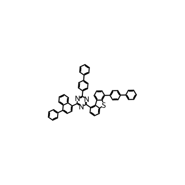 c1ccc(-c2ccc(-c3nc(-c4ccc(-c5ccccc5)c5ccccc45)nc(-c4cccc5sc6c(-c7ccc(-c8ccccc8)cc7)cccc6c45)n3)cc2)cc1